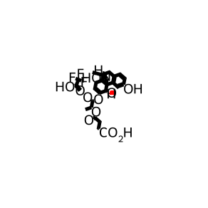 CC(OC(=O)CCC(=O)O)C(=O)OC1=CC[C@@]2(O)[C@H]3Cc4ccc(O)c5c4[C@@]2(CCN3C)[C@H]1O5.O=C(O)C(F)(F)F